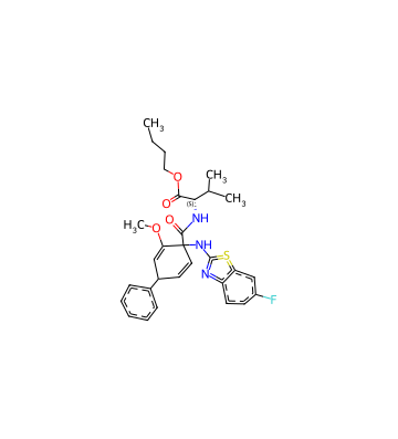 CCCCOC(=O)[C@@H](NC(=O)C1(Nc2nc3ccc(F)cc3s2)C=CC(c2ccccc2)C=C1OC)C(C)C